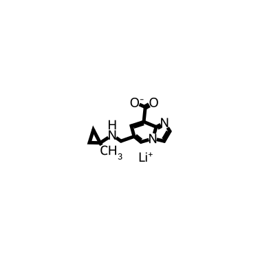 CC1(NCc2cc(C(=O)[O-])c3nccn3c2)CC1.[Li+]